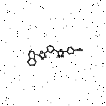 CCCCc1ccc(-c2nnc(-c3cccc(-c4nnc(-c5cccc6ccccc56)o4)c3)o2)cc1